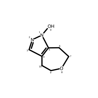 On1ncc2c1CCOCC2